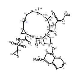 COc1cc2ccccc2c(O[C@@H]2C[C@H]3C(=O)N[C@]4(C(=O)NS(=O)(=O)C5CC5)CC4/C=C\CC[C@H](C)C[C@@H](C)[C@H](NC(=O)OC(C)(C)C)C(=O)N3C2)n1